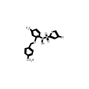 CCc1csc(S(=O)(=O)N(c2ccc(C(F)(F)F)cc2OCc2ccc(C(=O)O)cc2)C(C)C)c1